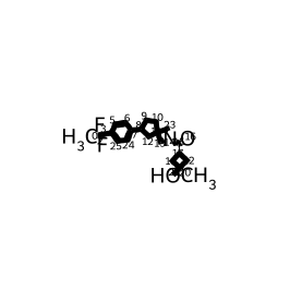 CC(F)(F)c1ccc(C2CCC3(C2)CN(C(=O)[C@H]2C[C@@](C)(O)C2)C3)cc1